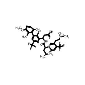 COc1ccc(C)c(-c2cc(C(F)(F)F)c(F)c(C(CC(=O)O)NC(=O)C(CC(C)C)n3cc(CCN(C)C)c(C(F)(F)F)cc3=O)c2F)c1C